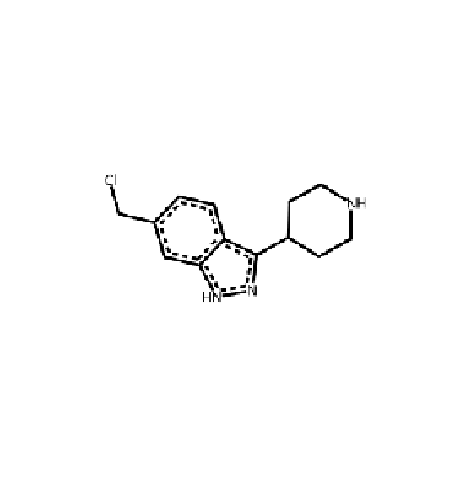 ClCc1ccc2c(C3CCNCC3)n[nH]c2c1